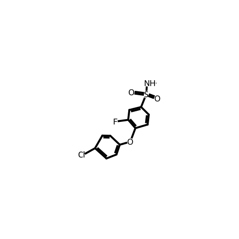 [NH]S(=O)(=O)c1ccc(Oc2ccc(Cl)cc2)c(F)c1